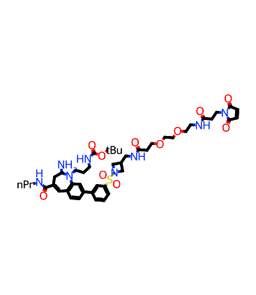 CCCNC(=O)C1=Cc2ccc(-c3cccc(S(=O)(=O)N4CC(CNC(=O)CCOCCOCCNC(=O)CCN5C(=O)C=CC5=O)C4)c3)cc2N(CCCNC(=O)OC(C)(C)C)C(N)C1